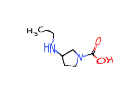 CCNC1CCN(C(=O)O)C1